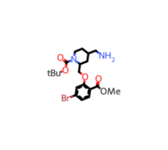 COC(=O)c1ccc(Br)cc1OCC1CC(CN)CCN1C(=O)OC(C)(C)C